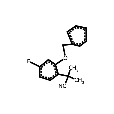 CC(C)(C#N)c1ccc(F)cc1OCc1ccccc1